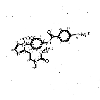 CCCCCCCc1ccc(C(=O)Oc2ccc([N+]3(C(=O)[O-])C=CN=C3CCN(C)C(=O)OC(C)(C)C)cc2)cc1